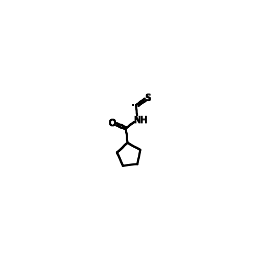 O=C(N[C]=S)C1CCCC1